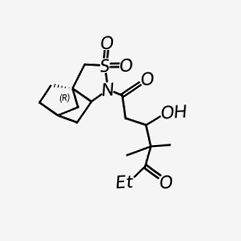 CCC(=O)C(C)(C)C(O)CC(=O)N1C2CC3CC[C@]2(C3)CS1(=O)=O